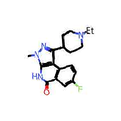 CCN1CCC(c2nn(C)c3[nH]c(=O)c4cc(F)ccc4c23)CC1